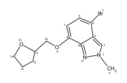 Cn1cc2c(Br)ccc(OCC3CCCO3)c2n1